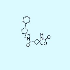 O=C1NC2(CO1)CC(C(=O)N1CC3(CCC(c4ccccc4)C3)C1)C2